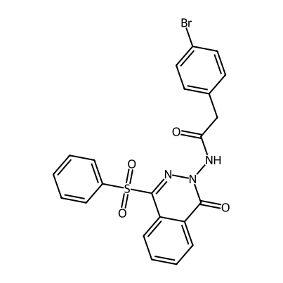 O=C(Cc1ccc(Br)cc1)Nn1nc(S(=O)(=O)c2ccccc2)c2ccccc2c1=O